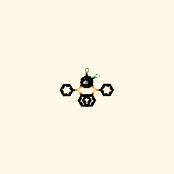 Cl[C]12[CH]3[C]4(P(c5ccccc5)c5ccccc5)[C]5(P(c6ccccc6)c6ccccc6)[C]1(Cl)[Fe]32451678[CH]2[CH]1[CH]6[CH]7[CH]28